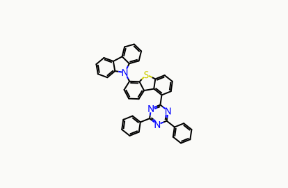 c1ccc(-c2nc(-c3ccccc3)nc(-c3cccc4sc5c(-n6c7ccccc7c7ccccc76)cccc5c34)n2)cc1